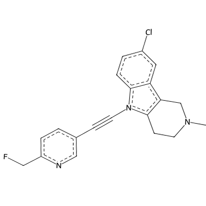 CN1CCc2c(c3cc(Cl)ccc3n2C#Cc2ccc(CF)nc2)C1